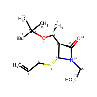 C=CCS[C@@H]1[C@@H]([C@@H](C)O[Si](C)(C)C(C)CC)C(=O)N1CC(=O)O